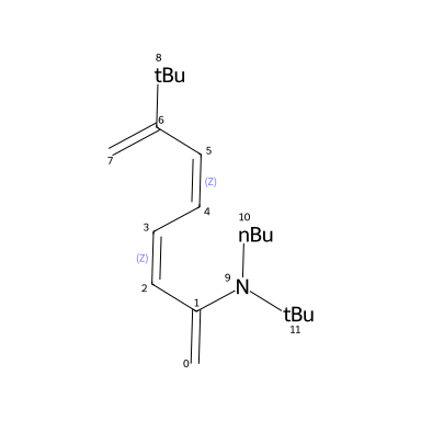 C=C(/C=C\C=C/C(=C)C(C)(C)C)N(CCCC)C(C)(C)C